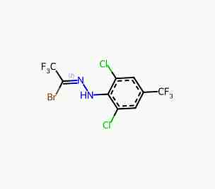 FC(F)(F)/C(Br)=N/Nc1c(Cl)cc(C(F)(F)F)cc1Cl